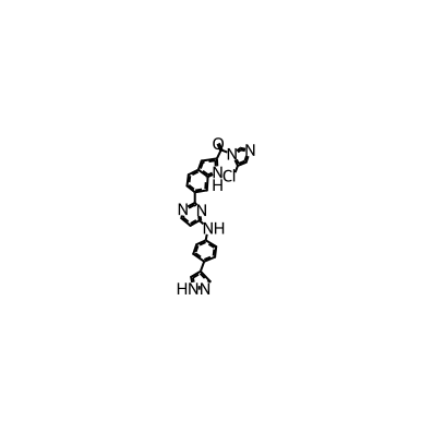 O=C(c1cc2ccc(-c3nccc(Nc4ccc(-c5cn[nH]c5)cc4)n3)cc2[nH]1)n1cncc1Cl